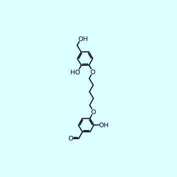 O=Cc1ccc(OCCCCCOc2ccc(CO)cc2O)c(O)c1